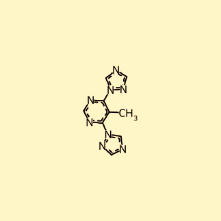 Cc1c(-n2cncn2)ncnc1-n1cncn1